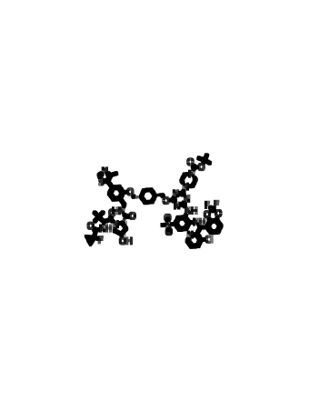 Cc1ncsc1-c1ccc(CNC(=O)[C@@H]2C[C@@H](O)CN2C(=O)[C@@H](NC(=O)C2(F)CC2)C(C)(C)C)c(OC[C@H]2CC[C@H](COc3nc(Nc4cc(S(C)(=O)=O)ccc4N[C@@H](c4cccc5c4OC(F)(F)O5)c4ncccc4Cl)nc(N4CCN(C(=O)OC(C)(C)C)CC4)n3)CC2)c1